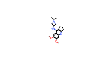 COc1cc2nc3c(c(NC4CN(C(C)C)C4)c2cc1OC)CCC3